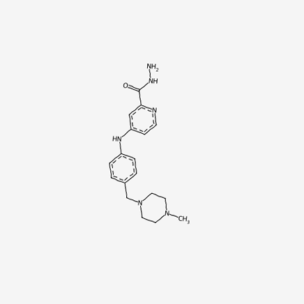 CN1CCN(Cc2ccc(Nc3ccnc(C(=O)NN)c3)cc2)CC1